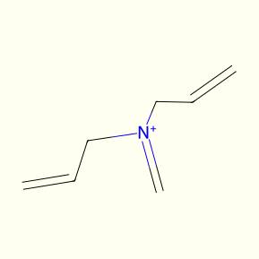 C=CC[N+](=C)CC=C